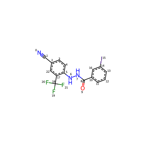 N#Cc1ccc(NNC(=O)c2cccc(I)c2)c(C(F)(F)F)c1